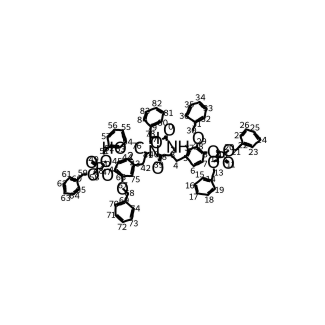 O=C(NC(Cc1ccc(OP(=O)(OCc2ccccc2)OCc2ccccc2)c(OCc2ccccc2)c1)C(=O)NC(Cc1ccc(OP(=O)(OCc2ccccc2)OCc2ccccc2)c(OCc2ccccc2)c1)C(=O)O)OCc1ccccc1